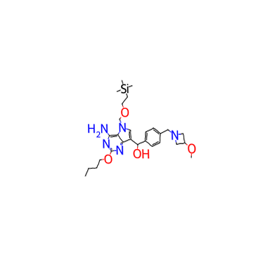 CCCCOc1nc(N)c2c(n1)c(C(O)c1ccc(CN3CC(OC)C3)cc1)cn2COCC[Si](C)(C)C